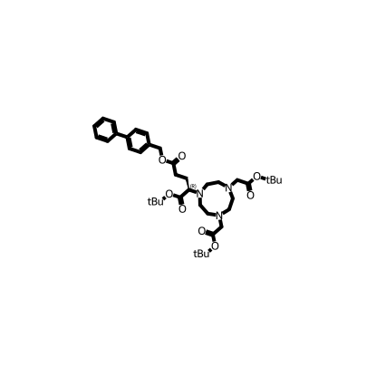 CC(C)(C)OC(=O)CN1CCN(CC(=O)OC(C)(C)C)CCN([C@H](CCC(=O)OCc2ccc(-c3ccccc3)cc2)C(=O)OC(C)(C)C)CC1